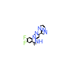 C[C@H](Nc1cc(-c2cnn3cccnc23)ncn1)c1ccc(F)c(F)c1